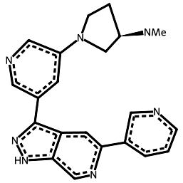 CN[C@@H]1CCN(c2cncc(-c3n[nH]c4cnc(-c5cccnc5)cc34)c2)C1